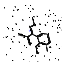 CO/N=C(/C(=O)O)c1cccc(C)c1CBr